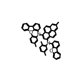 Cc1ccc(C)c(N(c2cc(N(c3cc(C)ccc3C)c3cccc4c3oc3ccccc34)c3ccc4cc(C)cc5ccc2c3c54)c2cccc3c2oc2ccccc23)c1